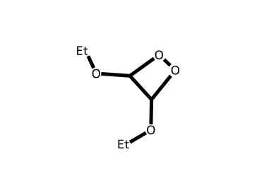 CCOC1OOC1OCC